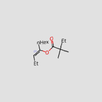 CC/C=C(/CCCCCC)OC(=O)C(C)(C)CC